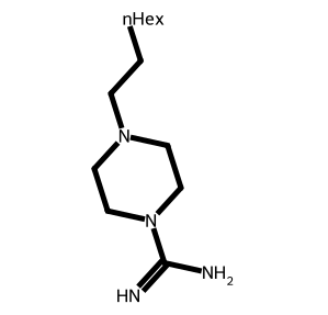 CCCCCCCCN1CCN(C(=N)N)CC1